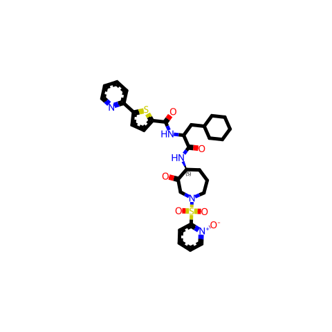 O=C(NC(CC1CCCCC1)C(=O)N[C@H]1CCCN(S(=O)(=O)c2cccc[n+]2[O-])CC1=O)c1ccc(-c2ccccn2)s1